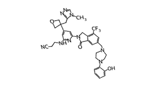 Cn1cnnc1CC1(c2cc(NCCC#N)nc(N3Cc4c(cc(CN5CCN(c6ccccc6O)CC5)cc4C(F)(F)F)C3=O)c2)COC1